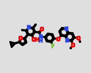 COc1cc2nccc(Oc3ccc(NC(=O)c4c(C)nc(C)c(-c5ccc(C6CC6)o5)c4O)cc3F)c2nc1OC